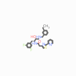 CCc1cccc(CNC[C@@H](O)[C@H](Cc2cc(F)cc(F)c2)NC(=O)Cc2csc(-c3ccccn3)n2)c1